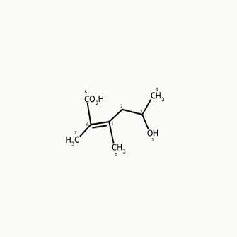 CC(CC(C)O)=C(C)C(=O)O